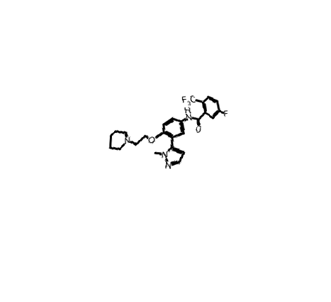 Cn1nccc1-c1cc(NC(=O)c2cc(F)ccc2C(F)(F)F)ccc1OCCN1CCCCC1